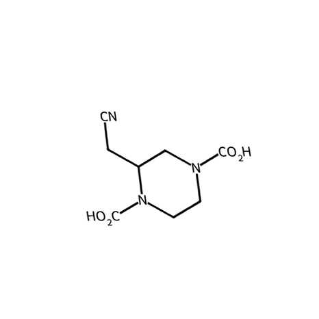 N#CCC1CN(C(=O)O)CCN1C(=O)O